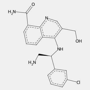 NC[C@@H](Nc1c(CO)cnc2c(C(N)=O)cccc12)c1cccc(Cl)c1